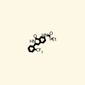 CCSC(=O)Nc1ccc2cc(-c3ccccc3C(F)(F)F)[nH]c(=O)c2c1